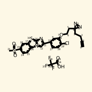 C#CCCC1(CCOc2cc(-c3cn4c(n3)sc3cc(S(C)(=O)=O)ccc34)ccc2Cl)N=N1.O=C(O)C(F)(F)F